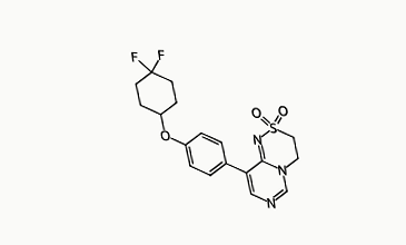 O=S1(=O)CCN2C=NC=C(c3ccc(OC4CCC(F)(F)CC4)cc3)C2=N1